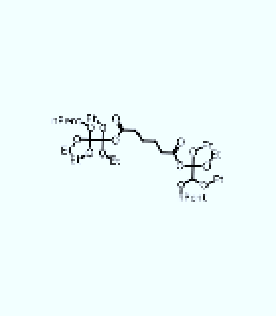 CCCCCOC(OCC)C(OCC)(OCC)OC(=O)CCCCC(=O)OC(OCC)(OCC)C(OCC)(OCC)OCCCCC